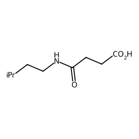 CC(C)CCNC(=O)CCC(=O)O